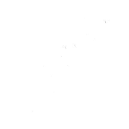 COc1ccc(-c2ccc(-n3cc(Br)c(-c4ccncc4)n3)cc2)cc1